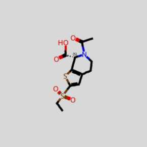 CCS(=O)(=O)c1cc2c(s1)[C@H](C(=O)O)N(C(C)=O)CC2